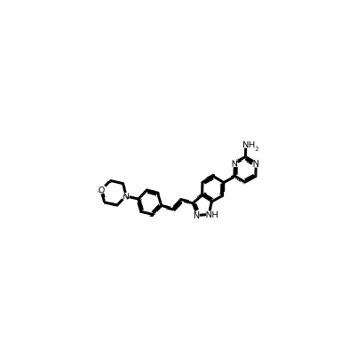 Nc1nccc(-c2ccc3c(/C=C/c4ccc(N5CCOCC5)cc4)n[nH]c3c2)n1